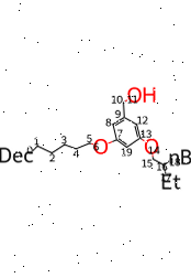 CCCCCCCCCCCCCCCOc1cc(CO)cc(OCC(CC)CCCC)c1